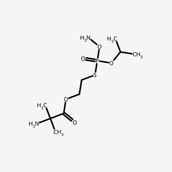 CC(C)OP(=O)(ON)SCCOC(=O)C(C)(C)N